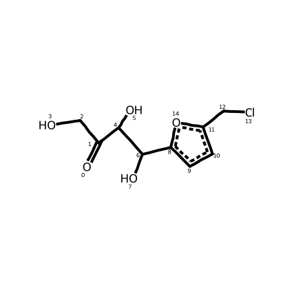 O=C(CO)C(O)C(O)c1ccc(CCl)o1